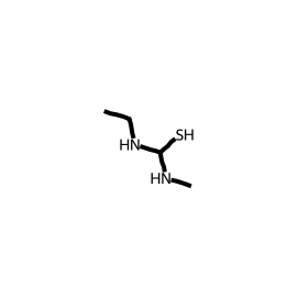 CCNC(S)NC